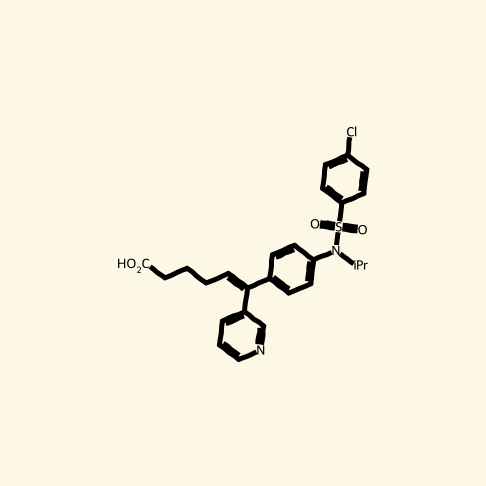 CC(C)N(c1ccc(C(=CCCCC(=O)O)c2cccnc2)cc1)S(=O)(=O)c1ccc(Cl)cc1